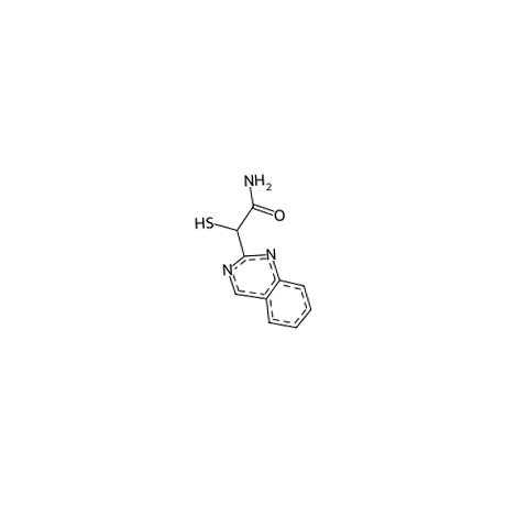 NC(=O)C(S)c1ncc2ccccc2n1